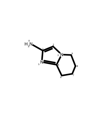 Nc1cn2c(n1)CCCC2